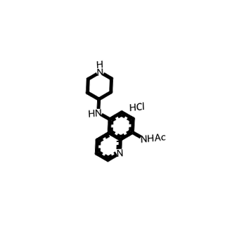 CC(=O)Nc1ccc(NC2CCNCC2)c2cccnc12.Cl